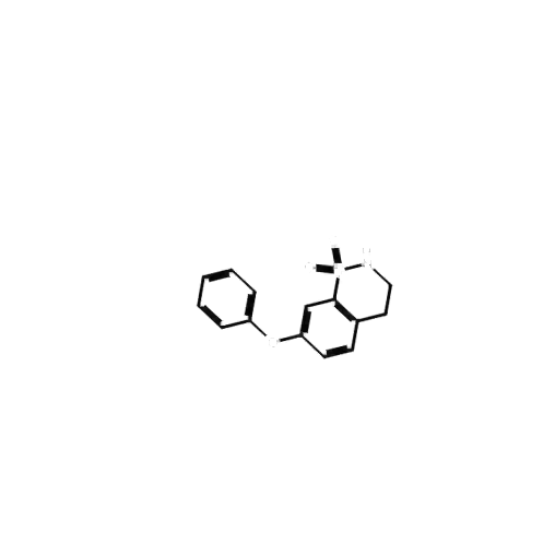 O=S1(=O)NCCc2ccc(Oc3ccccc3)cc21